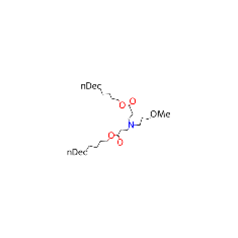 CCCCCCCCCCCCCCOC(=O)CCN(CCCOC)CCC(=O)OCCCCCCCCCCCCCC